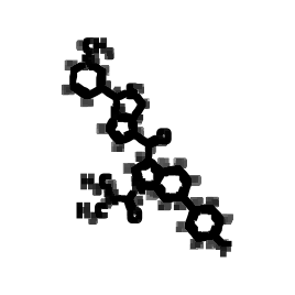 CN1C=C(C2SCc3c(C(=O)c4cn(C(=O)N(C)C)c5cc(-c6ccc(F)cc6)ccc45)ccn32)C=CC1